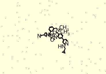 CC(C)N(Cc1cccc(C(=O)N2CC(C#N)C2)c1)C(=O)c1ccc(-c2ccnc(NCC3CC3)c2)cc1N(C)C=O